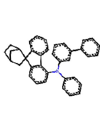 c1ccc(-c2cccc(N(c3ccccc3)c3cccc4c3-c3ccccc3C43CC4CCC3C4)c2)cc1